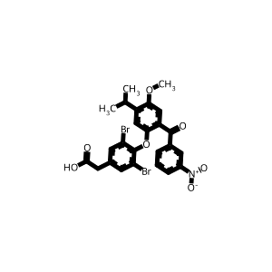 COc1cc(C(=O)c2cccc([N+](=O)[O-])c2)c(Oc2c(Br)cc(CC(=O)O)cc2Br)cc1C(C)C